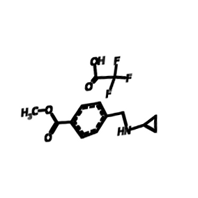 COC(=O)c1ccc(CNC2CC2)cc1.O=C(O)C(F)(F)F